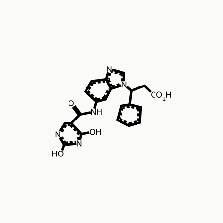 O=C(O)CC(c1ccccc1)n1cnc2ccc(NC(=O)c3cnc(O)nc3O)cc21